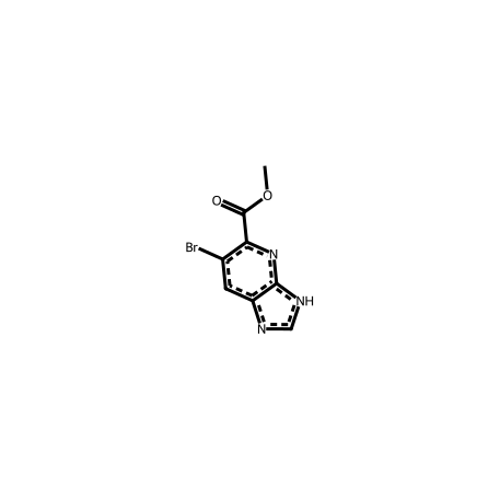 COC(=O)c1nc2[nH]cnc2cc1Br